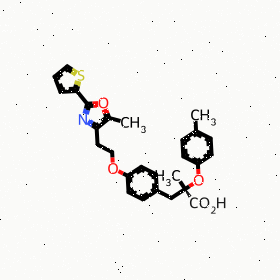 Cc1ccc(O[C@@](C)(Cc2ccc(OCCc3nc(-c4cccs4)oc3C)cc2)C(=O)O)cc1